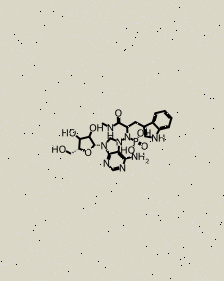 CNC(=O)C(Cc1c[nH]c2ccccc12)N(N1CN([C@@H]2O[C@H](CO)C(O)C2O)c2ncnc(N)c21)P(=O)(O)O